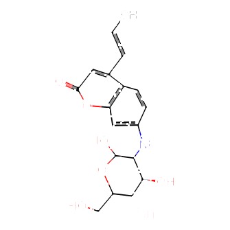 C/C=C/c1cc(=O)oc2cc(NC3C(O)OC(CO)[C@@H](O)[C@@H]3O)ccc12